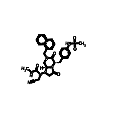 CNC(=O)N(CC#N)N1CC(=O)N2[C@@H](Cc3ccc(NS(C)(=O)=O)cc3)C(=O)N(Cc3cccc4ccccc34)C[C@@H]21